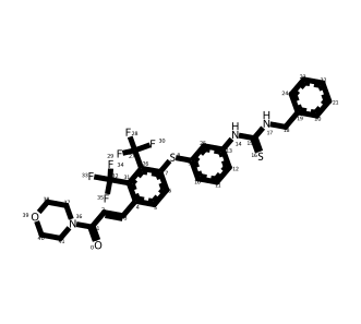 O=C(C=Cc1ccc(Sc2cccc(NC(=S)NCc3ccccc3)c2)c(C(F)(F)F)c1C(F)(F)F)N1CCOCC1